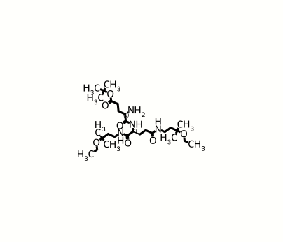 CCOC(C)(C)CCNC(=O)CC[C@H](NC(=O)[C@@H](N)CCC(=O)OC(C)(C)C)C(=O)NCCC(C)(C)OCC